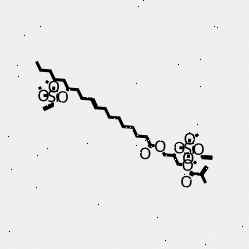 C=CO[Si](OC)(OC)OC(COC(=O)CCCCCCC/C=C/CCC(CCCCC)O[Si](C=C)(OC)OC)COC(=O)C(=C)C